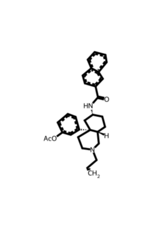 C=CCN1CC[C@@]2(c3cccc(OC(C)=O)c3)C[C@H](NC(=O)c3ccc4ccccc4c3)CC[C@@H]2C1